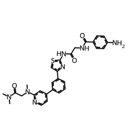 CN(C)C(=O)CN(C)c1cc(-c2cccc(-c3csc(NC(=O)CNC(=O)c4ccc(N)cc4)n3)c2)ccn1